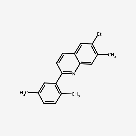 CCc1cc2ccc(-c3cc(C)ccc3C)nc2cc1C